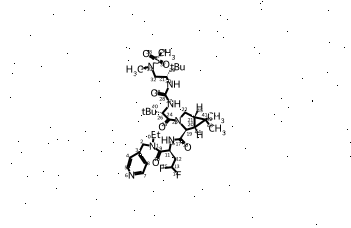 CCN(Cc1ccncc1)C(=O)[C@H](CC(F)F)NC(=O)[C@@H]1[C@@H]2[C@H](CN1C(=O)[C@@H](NC(=O)N[C@H](CN(C)S(C)(=O)=O)C(C)(C)C)C(C)(C)C)C2(C)C